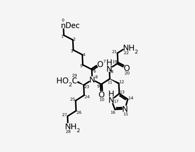 CCCCCCCCCCCCCCCC(=O)N(C(=O)[C@H](Cc1cnc[nH]1)NC(=O)CN)[C@@H](CCCCN)C(=O)O